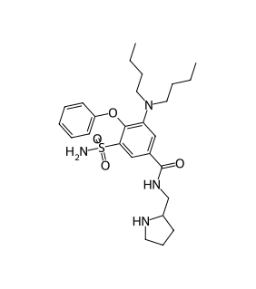 CCCCN(CCCC)c1cc(C(=O)NCC2CCCN2)cc(S(N)(=O)=O)c1Oc1ccccc1